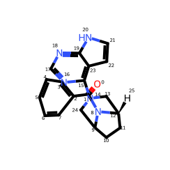 O=C(c1ccccc1)N1C2CC[C@H]1CN(c1ncnc3[nH]ccc13)C2